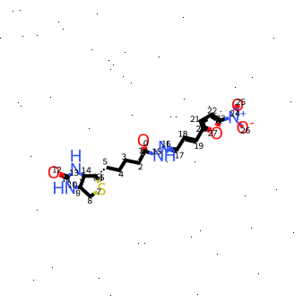 O=C(CCCC[C@@H]1SCC2NC(=O)NC21)NN=CC=Cc1ccc([N+](=O)[O-])o1